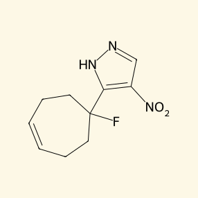 O=[N+]([O-])c1cn[nH]c1C1(F)CCC=CCC1